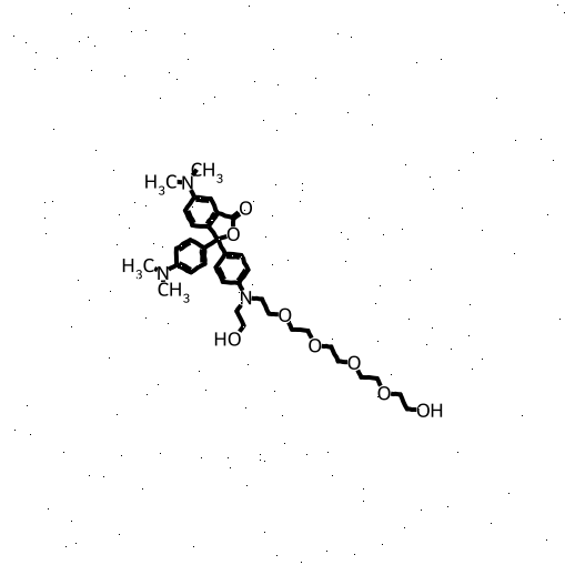 CN(C)c1ccc(C2(c3ccc(N(CCO)CCOCCOCCOCCOCCO)cc3)OC(=O)c3cc(N(C)C)ccc32)cc1